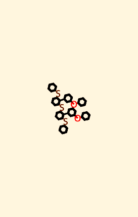 c1ccc(Oc2cccc(-c3c(Sc4ccccc4)cccc3Sc3cccc(Sc4ccccc4)c3-c3cccc(Oc4ccccc4)c3)c2)cc1